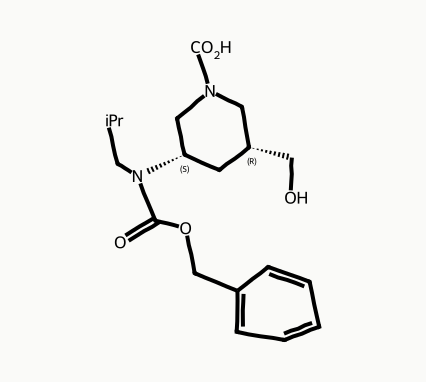 CC(C)CN(C(=O)OCc1ccccc1)[C@H]1C[C@@H](CO)CN(C(=O)O)C1